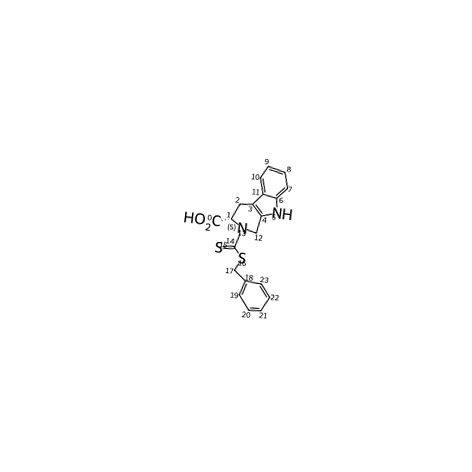 O=C(O)[C@@H]1Cc2c([nH]c3ccccc23)CN1C(=S)SCc1ccccc1